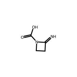 N=C1CCN1C(=O)O